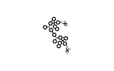 CCC1(COc2ccc(C3(c4ccc5ccccc5c4)c4ccccc4-c4ccc(N(c5ccccc5)c5ccc(-c6ccc(N(c7ccccc7)c7ccc8c(c7)C(c7ccc(OCC9(CC)COC9)cc7)(c7ccc9ccccc9c7)c7ccccc7-8)cc6)cc5)cc43)cc2)COC1